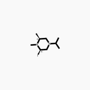 CC(C)N1C[C@@H](I)N(C)[C@@H](C)C1